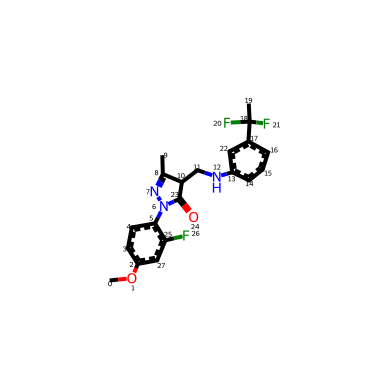 COc1ccc(N2N=C(C)C(CNc3cccc(C(C)(F)F)c3)C2=O)c(F)c1